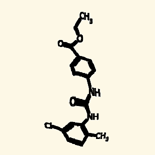 CCOC(=O)c1ccc(NC(=O)Nc2cc(Cl)ccc2C)cc1